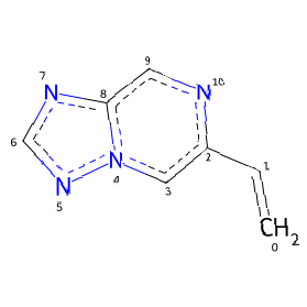 C=Cc1cn2ncnc2cn1